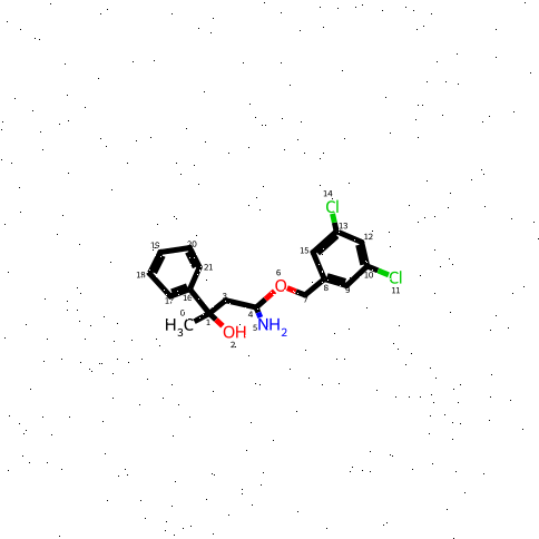 CC(O)(CC(N)OCc1cc(Cl)cc(Cl)c1)c1ccccc1